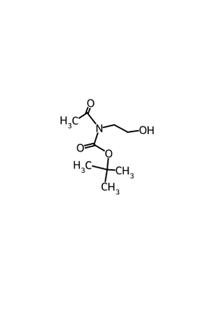 CC(=O)N(CCO)C(=O)OC(C)(C)C